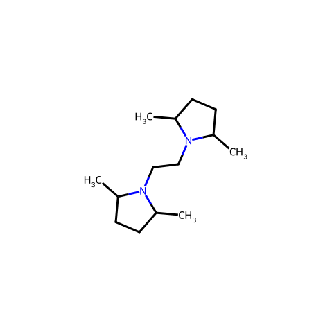 CC1CCC(C)N1CCN1C(C)CCC1C